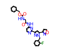 O=C(CNC(=O)OCc1ccccc1)Nc1ccnc(-c2cc(-c3ccon3)n(Cc3ccccc3F)n2)n1